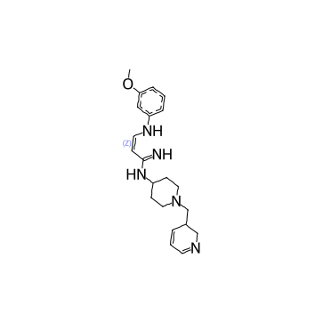 COc1cccc(N/C=C\C(=N)NC2CCN(CC3C=CC=NC3)CC2)c1